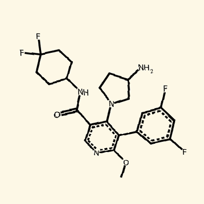 COc1ncc(C(=O)NC2CCC(F)(F)CC2)c(N2CCC(N)C2)c1-c1cc(F)cc(F)c1